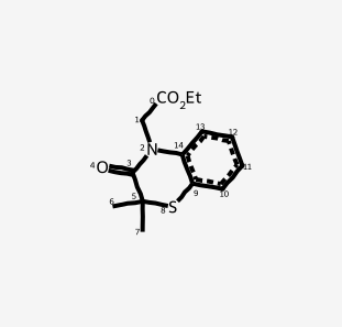 CCOC(=O)CN1C(=O)C(C)(C)Sc2ccccc21